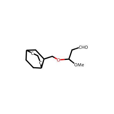 COC(CC=O)OCC1CC2CCCC1CC2